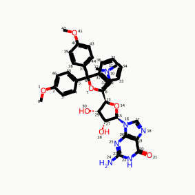 COc1ccc(C(OC(=CN(C)C)[C@H]2O[C@@H](n3cnc4c(=O)[nH]c(N)nc43)[C@H](O)[C@@H]2O)(c2ccccc2)c2ccc(OC)cc2)cc1